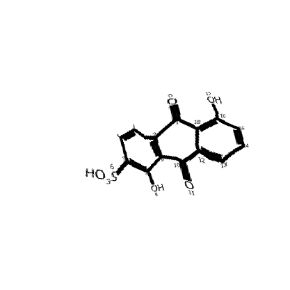 O=C1c2ccc(S(=O)(=O)O)c(O)c2C(=O)c2cccc(O)c21